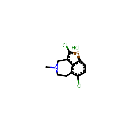 CN1CCc2c(Cl)ccc3sc(Cl)c(c23)C1.Cl